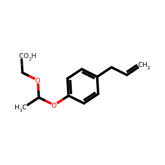 C=CCc1ccc(OC(C)OCC(=O)O)cc1